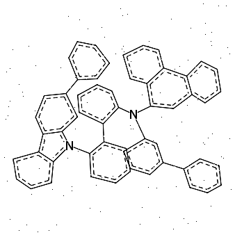 c1ccc(-c2cccc(N(c3ccccc3-c3ccccc3-n3c4ccccc4c4ccc(-c5ccccc5)cc43)c3cc4ccccc4c4ccccc34)c2)cc1